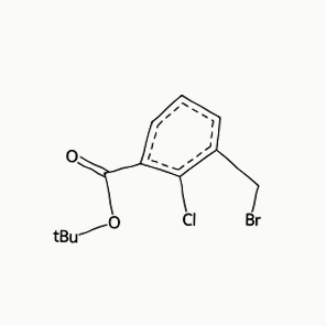 CC(C)(C)OC(=O)c1cccc(CBr)c1Cl